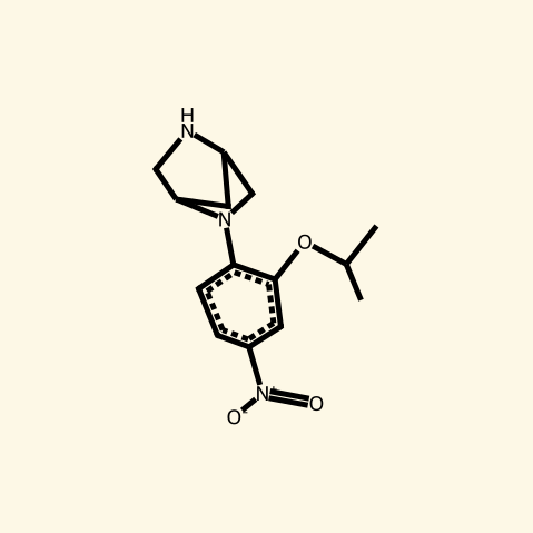 CC(C)Oc1cc([N+](=O)[O-])ccc1N1CC2CC1CN2